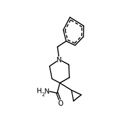 NC(=O)C1(C2CC2)CCN(Cc2ccccc2)CC1